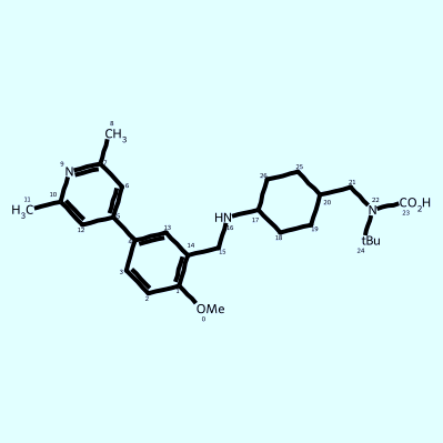 COc1ccc(-c2cc(C)nc(C)c2)cc1CNC1CCC(CN(C(=O)O)C(C)(C)C)CC1